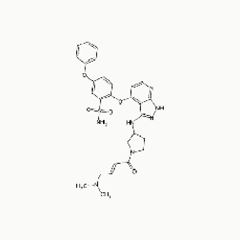 CN(C)CC=CC(=O)N1CCC(Nc2n[nH]c3nccc(Oc4ccc(Oc5ccccc5)cc4S(N)(=O)=O)c23)C1